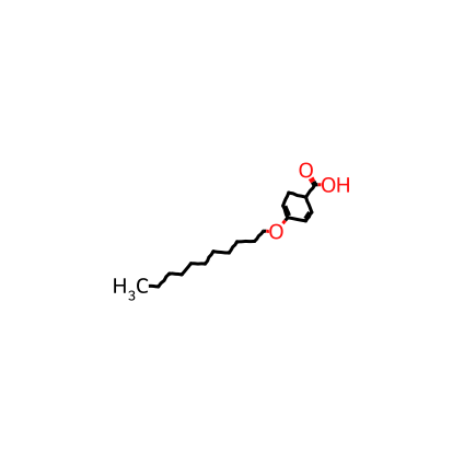 CCCCCCCCCCCOC1=CCC(C(=O)O)C=C1